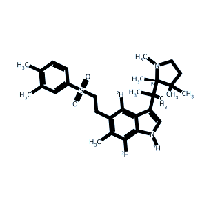 [2H]c1c(CCS(=O)(=O)c2ccc(C)c(C)c2)c(C)c([2H])c2c1c(C(C)(C)[C@]1(C)N(C)CCC1(C)C)cn2[2H]